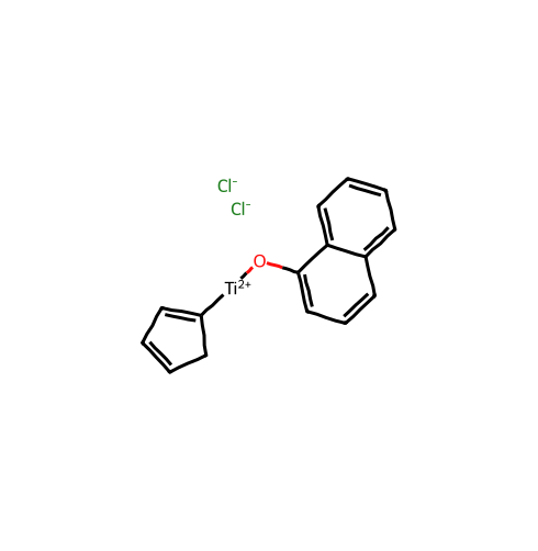 C1=CC[C]([Ti+2][O]c2cccc3ccccc23)=C1.[Cl-].[Cl-]